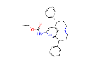 C=C1C2=C(/C=C(\N)NC(=O)OCC)[C@H](c3ccccc3)CCN2CC[C@H]1c1ccccc1